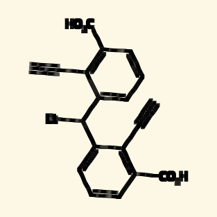 C#Cc1c(C(=O)O)cccc1C(CC)c1cccc(C(=O)O)c1C#C